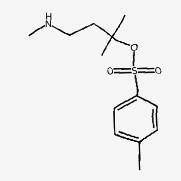 CNCCC(C)(C)OS(=O)(=O)c1ccc(C)cc1